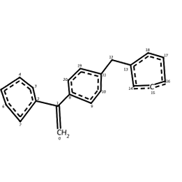 C=C(c1ccccc1)c1ccc(Cc2ccccc2)cc1